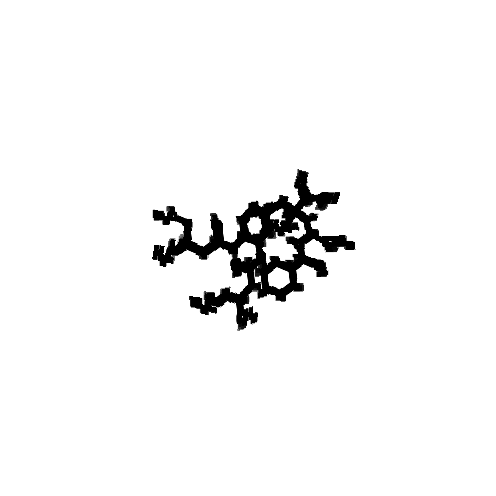 CCC(C)CC(=O)Oc1ccc(CC(N)(C[C@H](C)OC(=O)C2CCCCC2)C(=O)O)cc1OC(=O)CC(C)CC